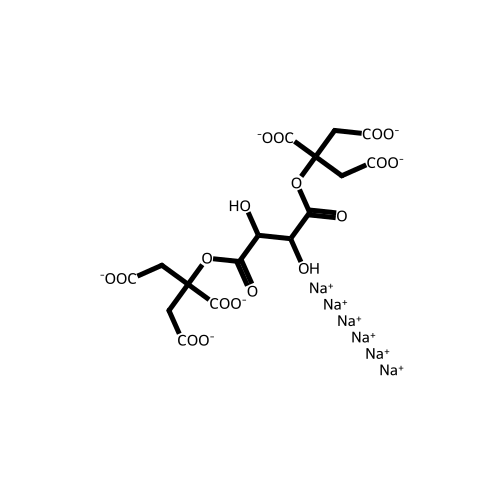 O=C([O-])CC(CC(=O)[O-])(OC(=O)C(O)C(O)C(=O)OC(CC(=O)[O-])(CC(=O)[O-])C(=O)[O-])C(=O)[O-].[Na+].[Na+].[Na+].[Na+].[Na+].[Na+]